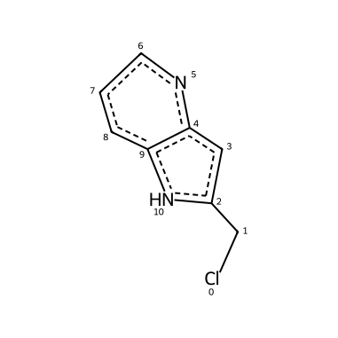 ClCc1cc2ncccc2[nH]1